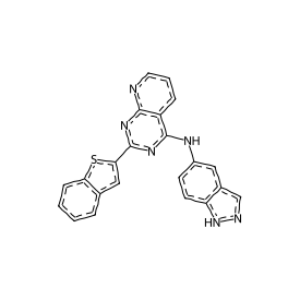 c1ccc2sc(-c3nc(Nc4ccc5[nH]ncc5c4)c4cccnc4n3)cc2c1